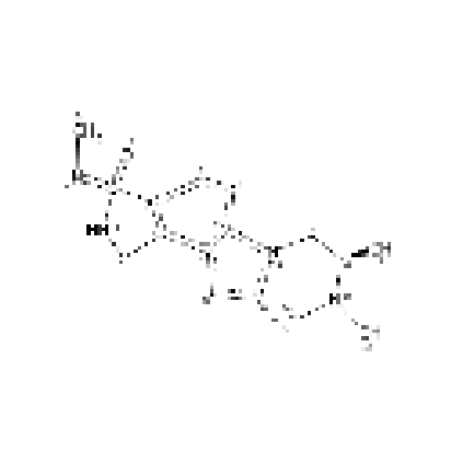 CN=S1(=O)NCc2c1ccc1c2ccn1C[C@@H](C)N(C)C